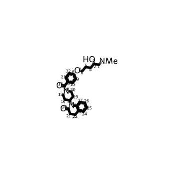 CNCC(O)CCCOc1ccc(C(=O)N2CCC(N3C(=O)CCc4ccccc43)CC2)cc1